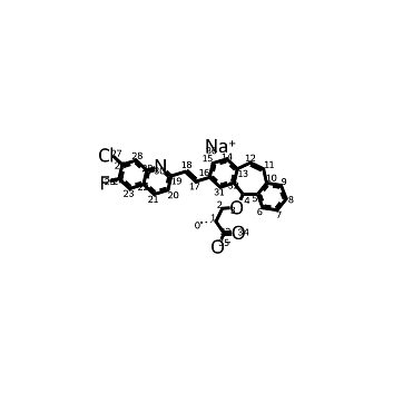 C[C@H](COC1c2ccccc2C=Cc2ccc(/C=C/c3ccc4cc(F)c(Cl)cc4n3)cc21)C(=O)[O-].[Na+]